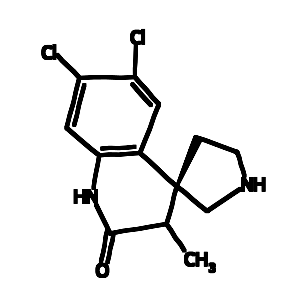 CC1C(=O)Nc2cc(Cl)c(Cl)cc2[C@@]12CCNC2